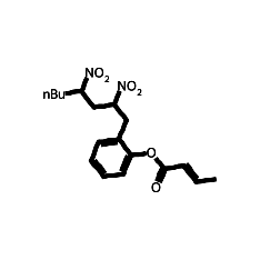 CC=CC(=O)Oc1ccccc1CC(CC(CCCC)[N+](=O)[O-])[N+](=O)[O-]